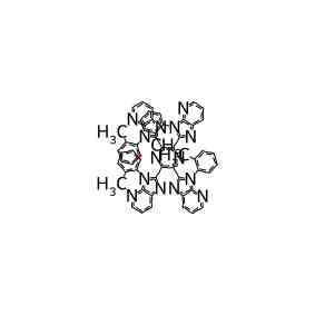 Cc1ccccc1-n1c(-c2nc(-c3nc4cccnc4n3-c3ccccc3C)c(-c3nc4cccnc4n3-c3ccccc3C)nc2-c2nc3cccnc3n2-c2ccccc2C)nc2cccnc21